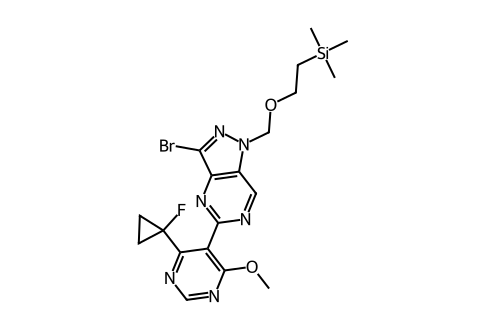 COc1ncnc(C2(F)CC2)c1-c1ncc2c(n1)c(Br)nn2COCC[Si](C)(C)C